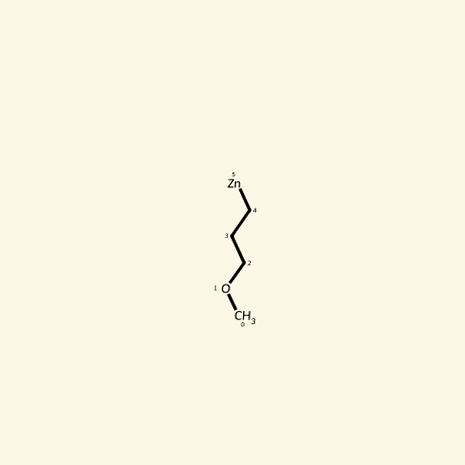 COCC[CH2][Zn]